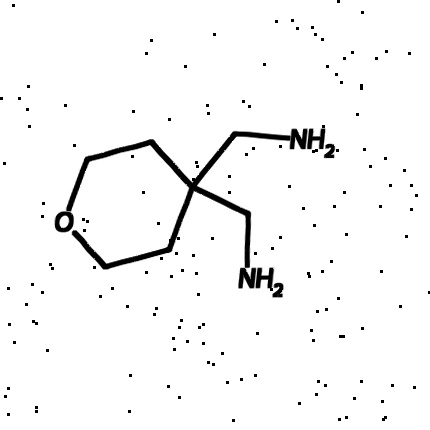 NCC1(CN)CCOCC1